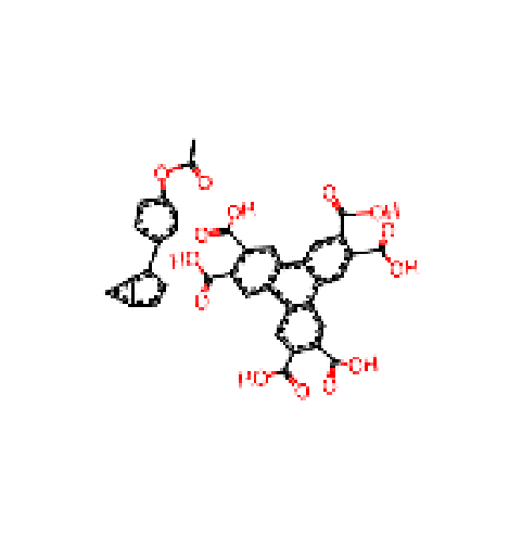 CC(=O)Oc1ccc(-c2ccc3cc2-3)cc1.O=C(O)c1cc2c3cc(C(=O)O)c(C(=O)O)cc3c3cc(C(=O)O)c(C(=O)O)cc3c2cc1C(=O)O